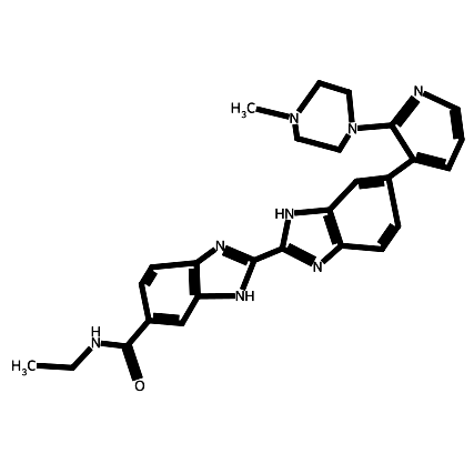 CCNC(=O)c1ccc2nc(-c3nc4ccc(-c5cccnc5N5CCN(C)CC5)cc4[nH]3)[nH]c2c1